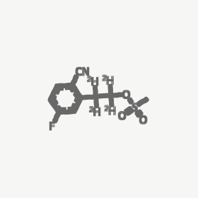 [2H]C([2H])(OS(C)(=O)=O)C([2H])([2H])c1cc(F)ccc1C#N